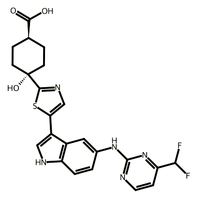 O=C(O)[C@H]1CC[C@@](O)(c2ncc(-c3c[nH]c4ccc(Nc5nccc(C(F)F)n5)cc34)s2)CC1